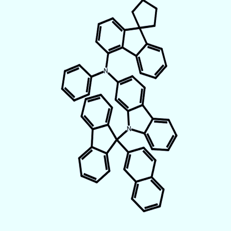 c1ccc(N(c2ccc3c4ccccc4n(C4(c5ccc6ccccc6c5)c5ccccc5-c5ccccc54)c3c2)c2cccc3c2-c2ccccc2C32CCCC2)cc1